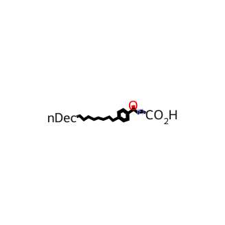 CCCCCCCCCCCCCCCCCCc1ccc(C(=O)/C=C/C(=O)O)cc1